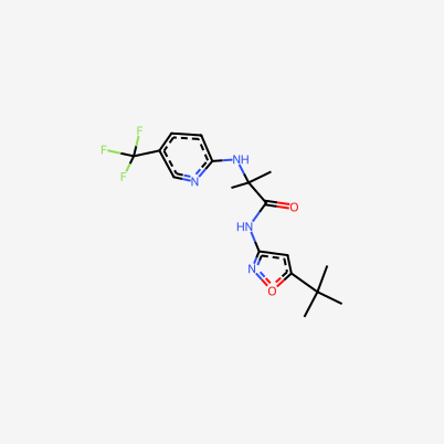 CC(C)(Nc1ccc(C(F)(F)F)cn1)C(=O)Nc1cc(C(C)(C)C)on1